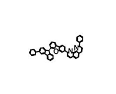 c1ccc(-c2ccc3c(c2)-c2ccccc2[C@@H]3c2cccc3c2oc2cc(-c4ccc5ccc6ccc(-c7ccccc7)nc6c5n4)ccc23)cc1